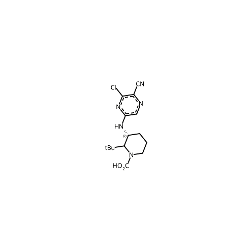 CC(C)(C)C1[C@H](Nc2cnc(C#N)c(Cl)n2)CCCN1C(=O)O